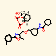 Cc1cccc(-c2nc(COCC3CCCC(NC(=O)C4CCCCC4)C3)c(C)o2)c1.O=C(O)O.O=C1OC(=O)O[C@@H]2CCCC[C@@H]2O1